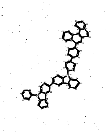 c1ccc(-n2c3ccccc3c3cc(-c4ccc5c(c4)c4ccccc4n5-c4ccc(-c5ccc(-c6cc7ccc8ccccc8c7c7ccccc67)cc5)cc4)ccc32)cc1